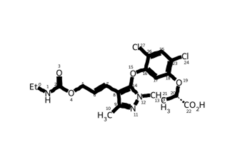 CCNC(=O)OC/C=C/c1c(C)nn(C)c1Oc1cc(O[C@@H](C)C(=O)O)c(Cl)cc1Cl